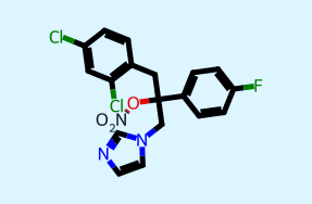 O=[N+]([O-])OC(Cc1ccc(Cl)cc1Cl)(Cn1ccnc1)c1ccc(F)cc1